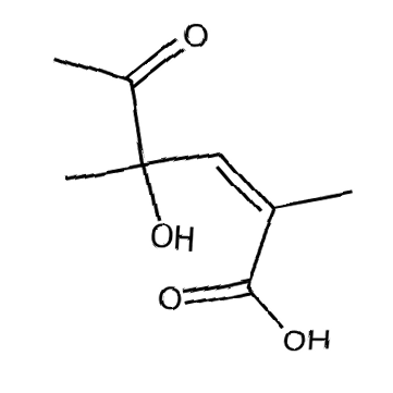 CC(=O)C(C)(O)C=C(C)C(=O)O